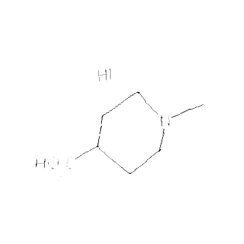 CN1CCC(C(=O)O)CC1.I